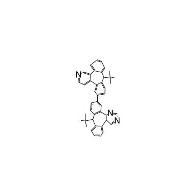 CC(C)(C)C1c2ccccc2-c2cnccc2-c2cc(-c3ccc4c(c3)C3N=CN=CC3c3ccccc3C4C(C)(C)C)ccc21